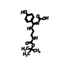 CC(C)(C)OC(=O)NCCN/C(=N/C(=O)O)c1ccc(O)cc1